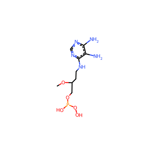 COC(CCNc1ncnc(N)c1N)COP(O)OO